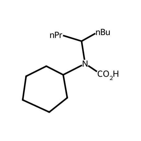 CCCCC(CCC)N(C(=O)O)C1CCCCC1